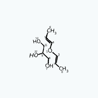 CC=COC=CC.OCC(O)CO